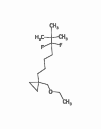 CCOCC1(CCCCC(F)(F)C(C)(C)C)CC1